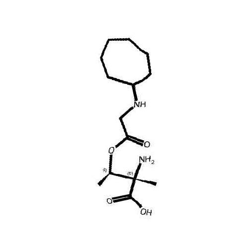 C[C@@H](OC(=O)CNC1CCCCCC1)[C@](C)(N)C(=O)O